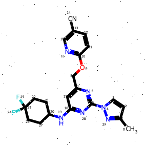 Cc1ccn(-c2nc(COc3ccc(C#N)cn3)cc(NC3CCC(F)(F)CC3)n2)n1